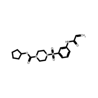 C=CC(=O)Nc1cccc(S(=O)(=O)N2CCN(C(=O)OC3CCCC3)CC2)c1